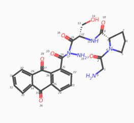 NCC(=O)N1CCC[C@H]1C(=O)N[C@@H](CO)C(=O)N(N)C(=O)c1cccc2c1C(=O)c1ccccc1C2=O